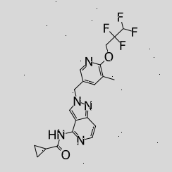 Cc1cc(Cn2cc3c(NC(=O)C4CC4)nccc3n2)cnc1OCC(F)(F)C(F)F